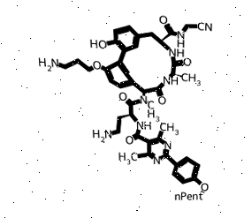 CCCCCOc1ccc(-c2nc(C)c(C(=O)N[C@@H](CCN)C(=O)N(C)[C@@H]3C(=O)N[C@@H](C)C(=O)N[C@H](C(=O)NCC#N)Cc4ccc(O)c(c4)-c4cc3ccc4OCCCN)c(C)n2)cc1